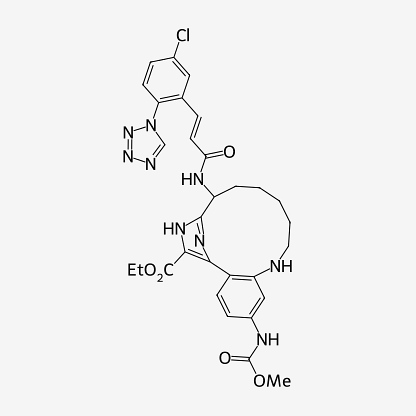 CCOC(=O)c1[nH]c2nc1-c1ccc(NC(=O)OC)cc1NCCCCCC2NC(=O)C=Cc1cc(Cl)ccc1-n1cnnn1